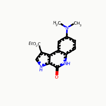 CCOC(=O)c1c[nH]c2c(=O)[nH]c3ccc(N(C)C)cc3c12